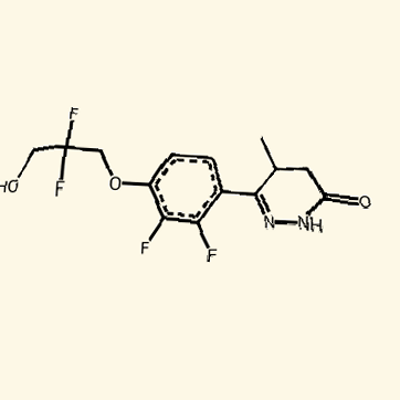 CC1CC(=O)NN=C1c1ccc(OCC(F)(F)CO)c(F)c1F